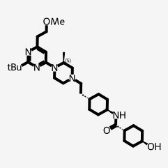 COCCc1cc(N2CCN(CC[C@H]3CC[C@H](NC(=O)[C@H]4CC[C@H](O)CC4)CC3)C[C@@H]2C)nc(C(C)(C)C)n1